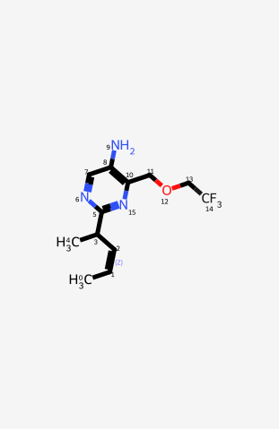 C/C=C\C(C)c1ncc(N)c(COCC(F)(F)F)n1